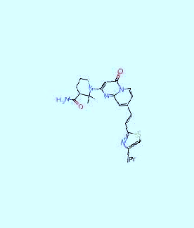 CC(C)c1csc(C=Cc2ccn3c(=O)cc(N4CCCC(C(N)=O)C4(C)C)nc3c2)n1